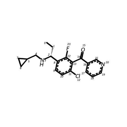 CC[C@@H](NCC1CC1)c1ccc(Cl)c(C(=O)c2cccnc2)c1F